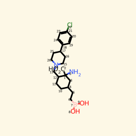 NC1(C(=O)O)CC(CCB(O)O)CCC1CN1CCC(c2ccc(Cl)cc2)CC1